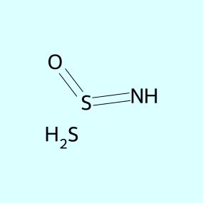 N=S=O.S